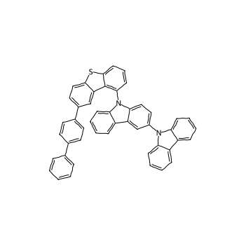 c1ccc(-c2ccc(-c3ccc4sc5cccc(-n6c7ccccc7c7cc(-n8c9ccccc9c9ccccc98)ccc76)c5c4c3)cc2)cc1